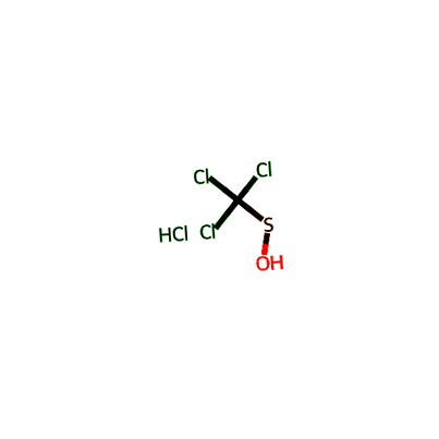 Cl.OSC(Cl)(Cl)Cl